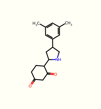 Cc1cc(C)cc(C2CNC(C3CCC(=O)CC3=O)C2)c1